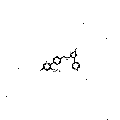 COc1cc(C)cnc1-c1ccc(COc2nn(C)cc2-c2ccncc2)cc1